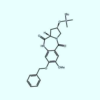 COc1cc2c(cc1OCc1ccccc1)NC(=O)[C@@H]1C[C@@H](O[Si](C)(C)C(C)(C)C)CN1C2=O